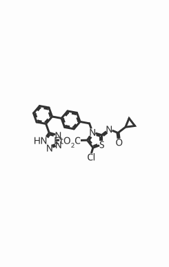 CCOC(=O)c1c(Cl)sc(=NC(=O)C2CC2)n1Cc1ccc(-c2ccccc2-c2nnn[nH]2)cc1